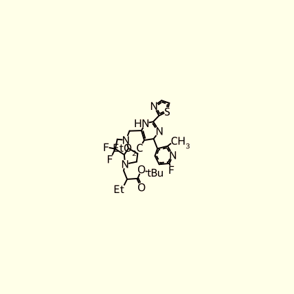 CCOC(=O)C1=C(CN2CC(F)(F)C3C2CCN3CC(CC)C(=O)OC(C)(C)C)NC(c2nccs2)=NC1c1ccc(F)nc1C